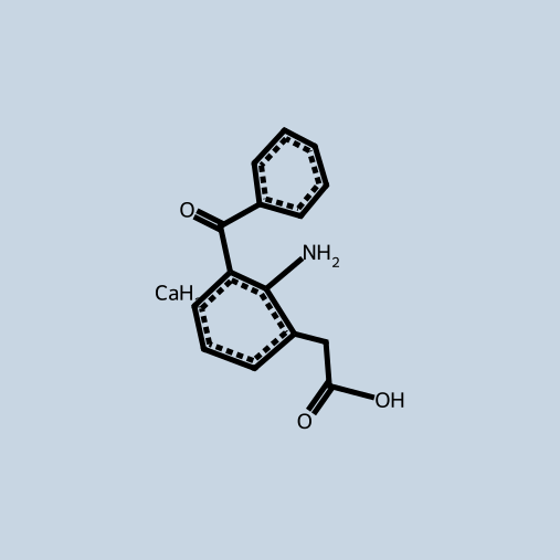 Nc1c(CC(=O)O)cccc1C(=O)c1ccccc1.[CaH2]